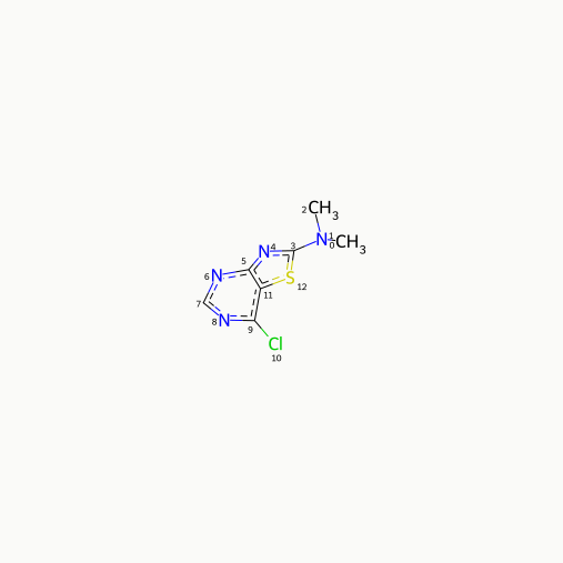 CN(C)c1nc2ncnc(Cl)c2s1